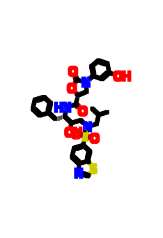 CC(C)CN(C[C@@H](O)[C@H](Cc1ccccc1)NC(=O)[C@@H]1CN(c2cccc(O)c2)C(=O)O1)S(=O)(=O)c1ccc2ncsc2c1